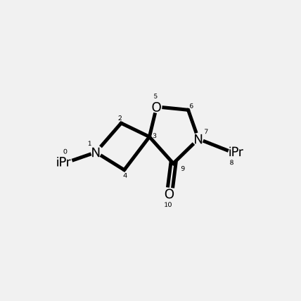 CC(C)N1CC2(C1)OCN(C(C)C)C2=O